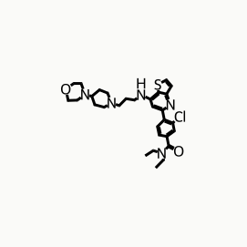 CCN(CC)C(=O)c1ccc(-c2cc(NCCCN3CCC(N4CCOCC4)CC3)c3sccc3n2)c(Cl)c1